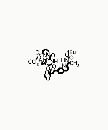 CC(NC(=O)C(OC(=O)C1(/C=C/c2ccc3ccc(C(C)NC(=O)OC(C)(C)C)nc3c2)COCCO1)C(C)C)C(=O)N1CCC[C@@H](C(=O)OCC(Cl)(Cl)Cl)N1